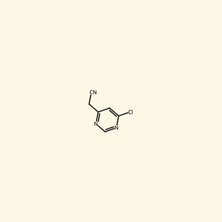 N#CCc1cc(Cl)ncn1